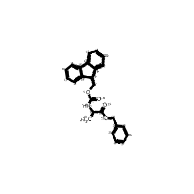 CC(NC(=O)OCC1c2ccccc2-c2ccccc21)C(=O)OCc1ccccc1